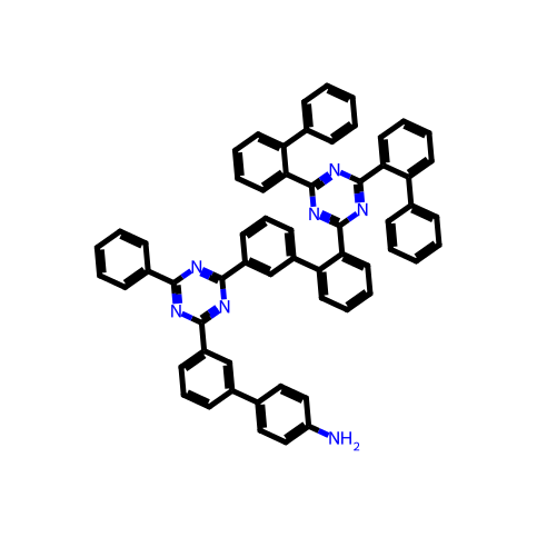 Nc1ccc(-c2cccc(-c3nc(-c4ccccc4)nc(-c4cccc(-c5ccccc5-c5nc(-c6ccccc6-c6ccccc6)nc(-c6ccccc6-c6ccccc6)n5)c4)n3)c2)cc1